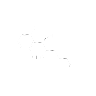 CCCCC(O)[C@H](O)c1c(Cl)cccc1Cl